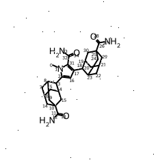 Cn1c(C2C3CC4CC2CC(C(N)=O)(C4)C3)cc(C2C3CC4CC2CC(C(N)=O)(C4)C3)c1C(N)=O